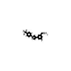 NCc1cc(F)cc(-c2cnn(-c3ccc(C(F)(F)F)cc3)c2)c1